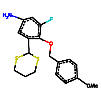 COc1ccc(COc2c(F)cc(N)cc2C2SCCCS2)cc1